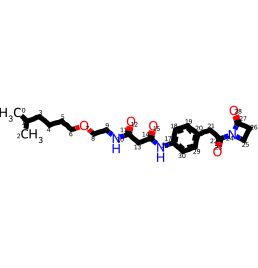 CC(C)CCCCOCCNC(=O)CC(=O)Nc1ccc(CC(=O)N2CCC2=O)cc1